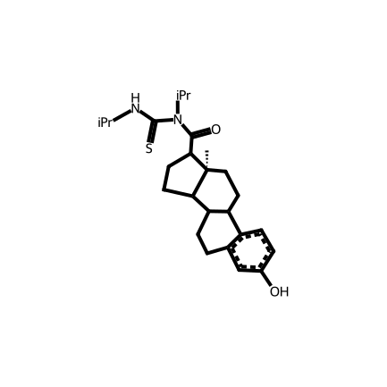 CC(C)NC(=S)N(C(=O)C1CCC2C3CCc4cc(O)ccc4C3CC[C@]12C)C(C)C